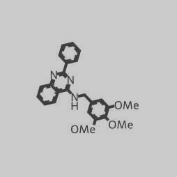 COc1cc(CNc2nc(-c3ccccc3)nc3ccccc23)cc(OC)c1OC